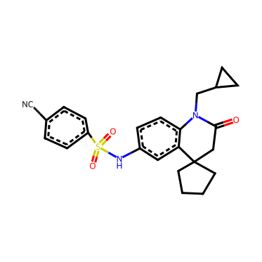 N#Cc1ccc(S(=O)(=O)Nc2ccc3c(c2)C2(CCCC2)CC(=O)N3CC2CC2)cc1